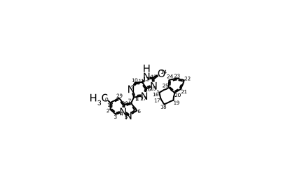 Cc1ccn2ncc(-c3ncc4[nH]c(=O)n([C@H]5CCCc6ccccc65)c4n3)c2c1